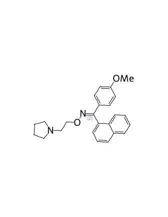 COc1ccc(/C(=N/OCCN2CCCC2)c2cccc3ccccc23)cc1